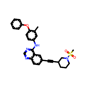 Cc1cc(Nc2ncnc3ccc(C#CC4CCCN(S(C)(=O)=O)C4)cc23)ccc1Oc1ccccc1